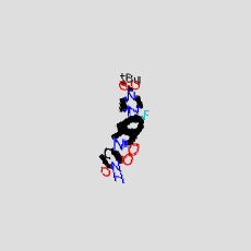 CC(C)(C)OC(=O)N1CCN(c2cc3c(cc2F)C(=O)N(C2CCC(=O)NC2=O)C3)CC1